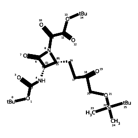 CC(C)(C)OC(=O)N[C@@H]1C(=O)N(C(=O)C(=O)OC(C)(C)C)[C@@H]1CCC(=O)CO[Si](C)(C)C(C)(C)C